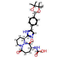 CC1(C)OB(c2ccc(-c3cnc([C@@H]4CCCN5C(=O)CC[C@H](NC(=O)O)C(=O)N45)[nH]3)cc2)OC1(C)C